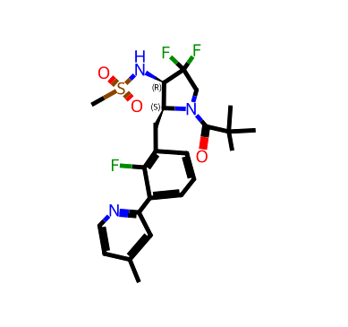 Cc1ccnc(-c2cccc(C[C@H]3[C@@H](NS(C)(=O)=O)C(F)(F)CN3C(=O)C(C)(C)C)c2F)c1